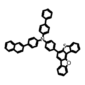 c1ccc(-c2ccc(N(c3ccc(-c4ccc5ccccc5c4)cc3)c3ccc(-c4cc5c6ccccc6oc5c5c4sc4ccccc45)cc3)cc2)cc1